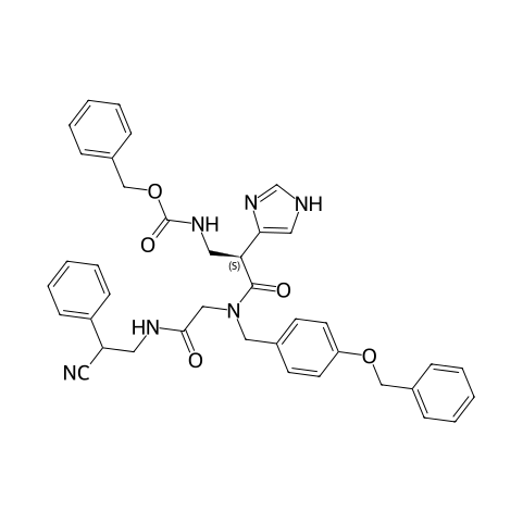 N#CC(CNC(=O)CN(Cc1ccc(OCc2ccccc2)cc1)C(=O)[C@@H](CNC(=O)OCc1ccccc1)c1c[nH]cn1)c1ccccc1